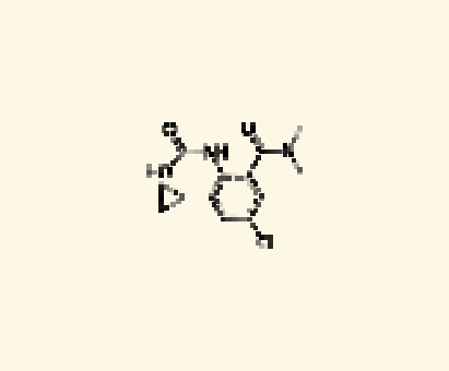 CN(C)C(=O)c1cc(Cl)cc(C2CC2)c1NC(=O)O